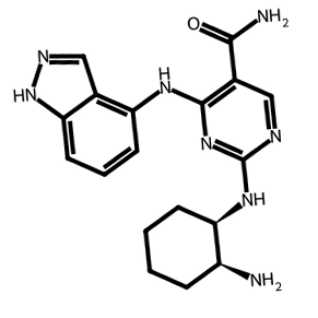 NC(=O)c1cnc(N[C@@H]2CCCC[C@@H]2N)nc1Nc1cccc2[nH]ncc12